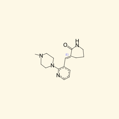 CN1CCN(c2ncccc2/C=C2\CCCNC2=O)CC1